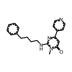 Cn1c(NCCCCc2ccccc2)nc(-c2ccncc2)cc1=O